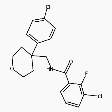 O=C(NCC1(c2ccc(Cl)cc2)CCOCC1)c1cccc(Cl)c1F